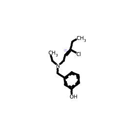 CC/C(Cl)=C/CN(CC)Cc1cccc(O)c1